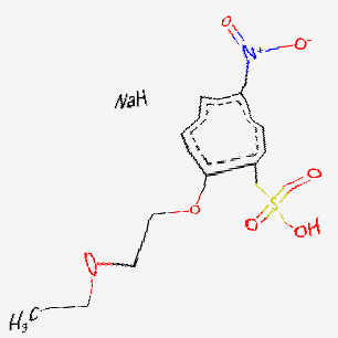 CCOCCOc1ccc([N+](=O)[O-])cc1S(=O)(=O)O.[NaH]